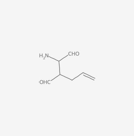 C=CCC([C]=O)C(N)C=O